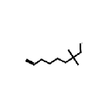 [CH2]CC(C)(C)CCCCC=C